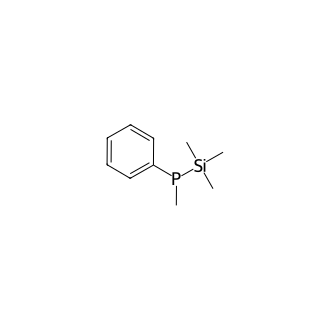 CP(c1ccccc1)[Si](C)(C)C